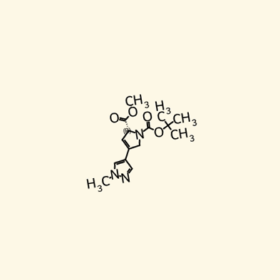 COC(=O)[C@H]1C=C(c2cnn(C)c2)CN1C(=O)OC(C)(C)C